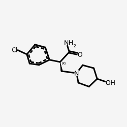 NC(=O)[C@@H](CN1CCC(O)CC1)c1ccc(Cl)cc1